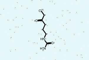 NC(=O)NCCCC(=O)CCl